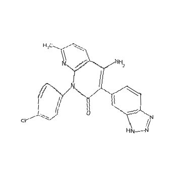 Cc1ccc2c(N)c(-c3ccc4nn[nH]c4c3)c(=O)n(-c3ccc(Cl)cc3)c2n1